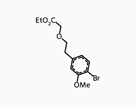 CCOC(=O)COCCc1ccc(Br)c(OC)c1